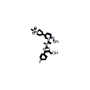 C=C(N(C)c1nc(C2=CCC(F)C=C2)c(CO)s1)n1cc(C2CCN(S(C)(=O)=O)CC2)cc/c1=N/CCC